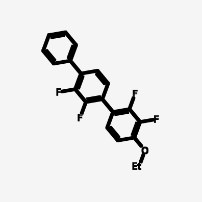 CCOc1ccc(-c2ccc(-c3ccccc3)c(F)c2F)c(F)c1F